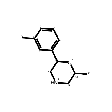 Cc1cccc(C2CNC[C@H](C)O2)c1